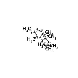 CCc1ccc2c(c1C)C=C(C[Si](C)(C)C)C2(C)C